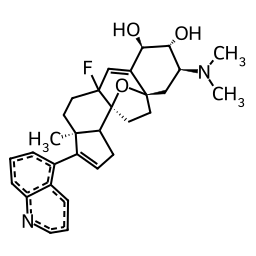 CN(C)[C@H]1C[C@@]23CC[C@]4(O2)C2CC=C(c5cccc6ncccc56)[C@@]2(C)CCC4(F)C=C3[C@@H](O)[C@@H]1O